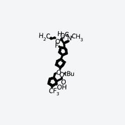 C=CCOC(=O)C(=CN(C)C)c1ccc(-c2ccc(OCc3ccc(C(F)(F)F)c(O)c3C(=O)OC(C)(C)C)cc2)cc1F